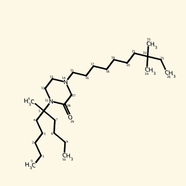 CCCCCC(C)(CCCC)N1CCN(CCCCCCCC(C)(C)CC)CC1=O